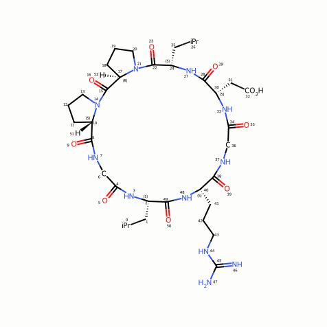 CC(C)C[C@@H]1NC(=O)CNC(=O)[C@@H]2CCCN2C(=O)[C@H]2CCCN2C(=O)[C@H](CC(C)C)NC(=O)[C@H](CC(=O)O)NC(=O)CNC(=O)[C@H](CCCNC(=N)N)NC1=O